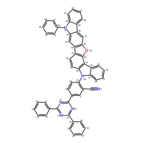 N#Cc1cc(-c2nc(-c3ccccc3)nc(-c3ccccc3)n2)ccc1-n1c2ccccc2c2c3oc4cc5c6ccccc6n(-c6ccccc6)c5cc4c3ccc21